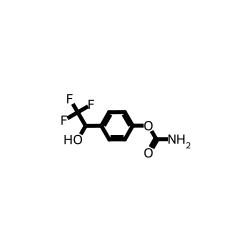 NC(=O)Oc1ccc(C(O)C(F)(F)F)cc1